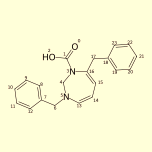 O=C(O)N1CN(Cc2ccccc2)C=CC=C1Cc1ccccc1